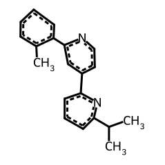 Cc1ccccc1-c1cc(-c2cccc(C(C)C)n2)ccn1